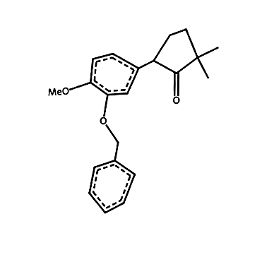 COc1ccc(C2CCC(C)(C)C2=O)cc1OCc1ccccc1